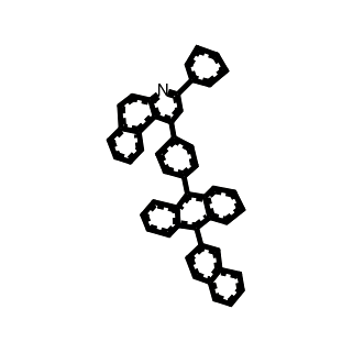 c1ccc(-c2cc(-c3ccc(-c4c5ccccc5c(-c5ccc6ccccc6c5)c5ccccc45)cc3)c3c(ccc4ccccc43)n2)cc1